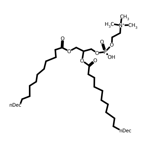 CCCCCCCCCCCCCCCCCCCC(=O)OCC(COP(=O)(O)OCC[N+](C)(C)C)OC(=O)CCCCCCCCCCCCCCCCCCC